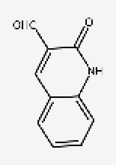 O=Cc1cc2ccccc2[nH]c1=O